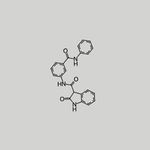 O=C(Nc1ccccc1)c1cccc(NC(=O)C2C(=O)Nc3ccccc32)c1